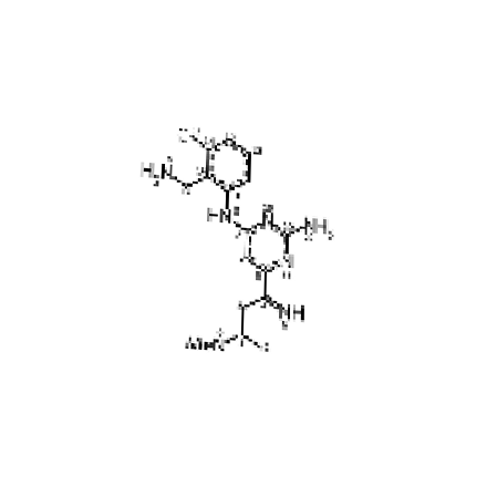 CN[C@H](C)CC(=N)c1cc(Nc2cccc(Cl)c2CN)nc(N)n1